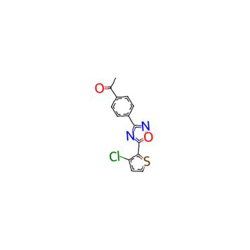 CC(=O)c1ccc(-c2noc(-c3sccc3Cl)n2)cc1